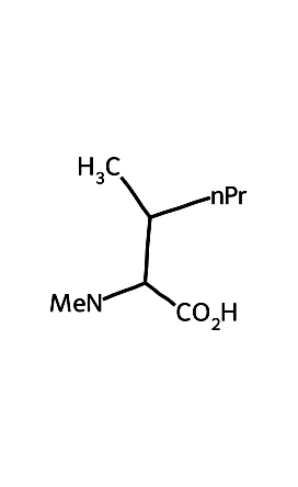 CCCC(C)C(NC)C(=O)O